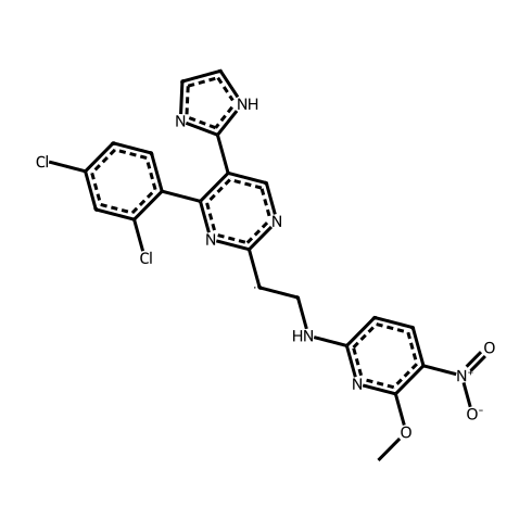 COc1nc(NC[CH]c2ncc(-c3ncc[nH]3)c(-c3ccc(Cl)cc3Cl)n2)ccc1[N+](=O)[O-]